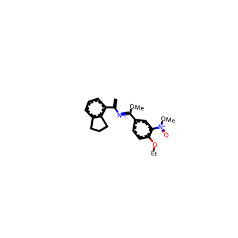 C=C(/N=C(\OC)c1ccc(OCC)c([N+](=O)OC)c1)c1cccc2c1CCC2